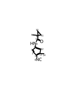 [C-]#[N+]c1ccc(NC(=O)C2(C)CC2)cc1C